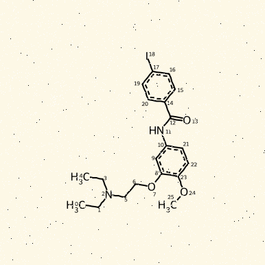 CCN(CC)CCOc1cc(NC(=O)c2ccc(I)cc2)ccc1OC